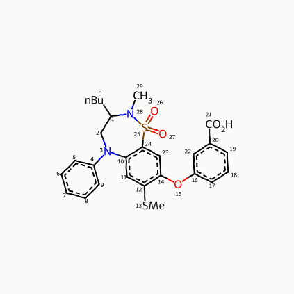 CCCCC1CN(c2ccccc2)c2cc(SC)c(Oc3cccc(C(=O)O)c3)cc2S(=O)(=O)N1C